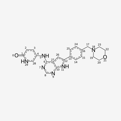 O=c1ccc(Nc2ncnc3[nH]c(-c4ccc(CN5CCOCC5)cc4)cc23)c[nH]1